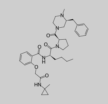 CCCC[C@@H](NC(=O)c1ccccc1OCC(=O)NC1(C)CC1)C(=O)N1CCC[C@@H]1C(=O)N1CCN(C)[C@@H](Cc2ccccc2)C1